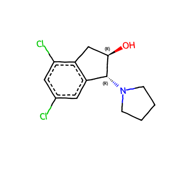 O[C@@H]1Cc2c(Cl)cc(Cl)cc2[C@H]1N1CCCC1